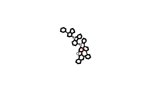 c1ccc(-c2ccc(-c3ccccc3N(c3ccc4c(c3)oc3c5ccccc5ccc43)c3cccc4c3c3ccccc3n4-c3ccc(-c4ccccc4)c4ccccc34)cc2)cc1